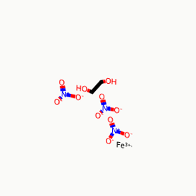 O=[N+]([O-])[O-].O=[N+]([O-])[O-].O=[N+]([O-])[O-].OCCO.[Fe+3]